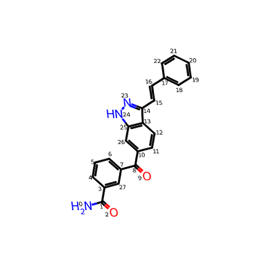 NC(=O)c1cccc(C(=O)c2ccc3c(C=Cc4ccccc4)n[nH]c3c2)c1